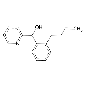 C=CCCc1ccccc1C(O)c1ccccn1